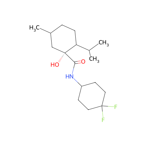 CC1CCC(C(C)C)[C@@](O)(C(=O)NC2CCC(F)(F)CC2)C1